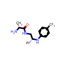 CC(C)[C@H](CNC(=O)[C@@H](C)N)Nc1ccc(C(F)(F)F)cc1